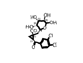 O=C(c1ccc(Cl)c(Cl)c1)[C@H]1C[C@@]1(C[C@H]1OC(O)[C@H](O)[C@@H](O)[C@H]1O)C(=O)O